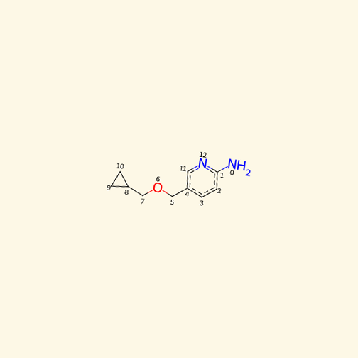 Nc1ccc(COCC2CC2)cn1